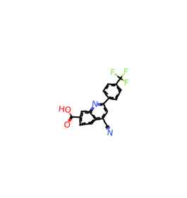 N#Cc1cc(-c2ccc(C(F)(F)F)cc2)nc2cc(C(=O)O)ccc12